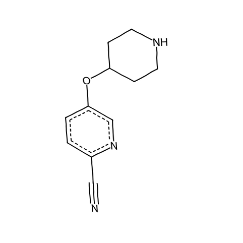 N#Cc1ccc(OC2CCNCC2)cn1